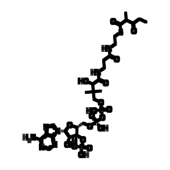 CCC(=O)C(C)C(=O)SCCNC(=O)CCNC(=O)[C@H](O)C(C)(C)COP(=O)(O)OP(=O)(O)OC[C@H]1O[C@@H](n2cnc3c(N)ncnc32)[C@H](O)[C@@H]1OP(=O)(O)O